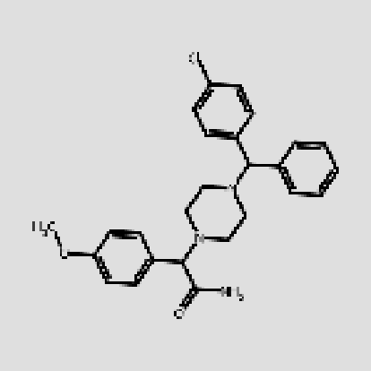 COc1ccc(C(C(N)=O)N2CCN(C(c3ccccc3)c3ccc(Cl)cc3)CC2)cc1